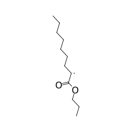 CCCCCCC[CH]C(=O)OCCC